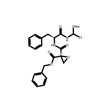 CCC(NC(=O)[C@H](Cc1ccccc1)NC(=O)[C@]1(C(=O)OCc2ccccc2)CO1)OC